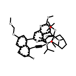 COCOc1cc(-c2cc3nc(SC)nc(N4CC5CCC(C4)N5C(=O)OC(C)(C)C)c3c(=O)o2)c2c(C#C[Si](C(C)C)(C(C)C)C(C)C)c(F)ccc2c1